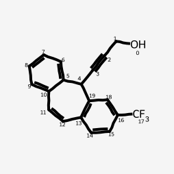 OCC#CC1c2ccccc2C=Cc2ccc(C(F)(F)F)cc21